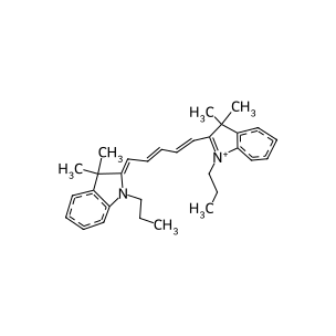 CCCN1C(=CC=CC=CC2=[N+](CCC)c3ccccc3C2(C)C)C(C)(C)c2ccccc21